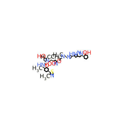 Cc1ncsc1-c1ccc([C@H](C)NC(=O)[C@@H]2C[C@@H](O)CN2C(=O)[C@@H](c2cc(OCCN(C)CCN3CC(c4cc5cc(-c6ccccc6O)nnc5[nH]4)C3)no2)C(C)C)cc1